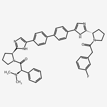 CN(C)[C@@H](C(=O)N1CCC[C@H]1c1ncc(-c2ccc(-c3ccc(-c4cnc([C@@H]5CCCN5C(=O)Cc5cccc(F)c5)[nH]4)cc3)cc2)[nH]1)c1ccccc1